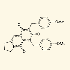 COc1ccc(Cn2c(=O)c3cc4n(c(=O)c3n(Cc3ccc(OC)cc3)c2=O)CCC4)cc1